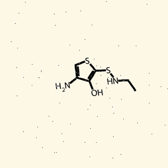 CCNSc1scc(N)c1O